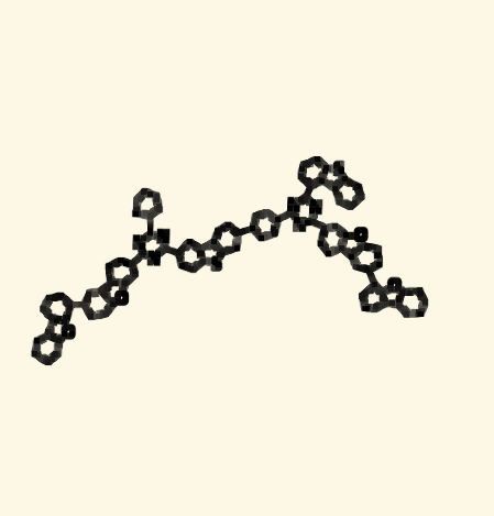 c1ccc(-c2nc(-c3ccc4c(c3)oc3ccc(-c5cccc6c5oc5ccccc56)cc34)nc(-c3ccc4sc5cc(-c6ccc(-c7nc(-c8ccc9c(c8)oc8ccc(-c%10cccc%11c%10oc%10ccccc%10%11)cc89)nc(-c8cccc9sc%10ccccc%10c89)n7)cc6)ccc5c4c3)n2)cc1